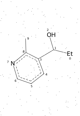 CCC(O)c1cccnc1C